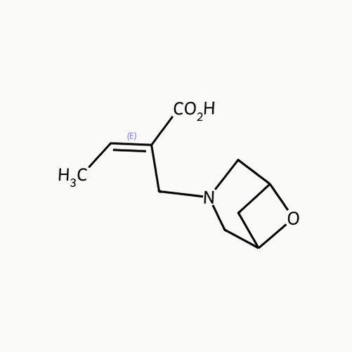 C/C=C(\CN1CC2CC(C1)O2)C(=O)O